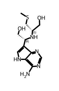 CSC[C@H](CO)N[C@@H](CO)c1c[nH]c2c(N)ncnc12